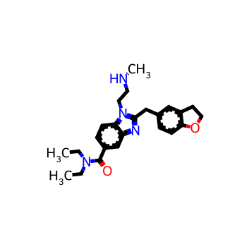 CCN(CC)C(=O)c1ccc2c(c1)nc(Cc1ccc3c(c1)CCO3)n2CCNC